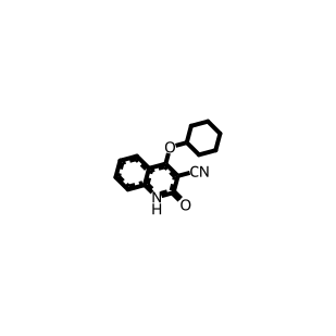 N#Cc1c(OC2CCCCC2)c2ccccc2[nH]c1=O